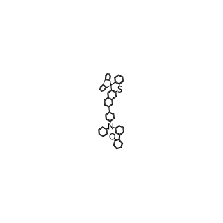 c1ccc(N(c2ccc(-c3ccc4cc5c(cc4c3)Sc3ccccc3C53c4ccccc4-c4ccccc43)cc2)c2cccc3c2oc2ccccc23)cc1